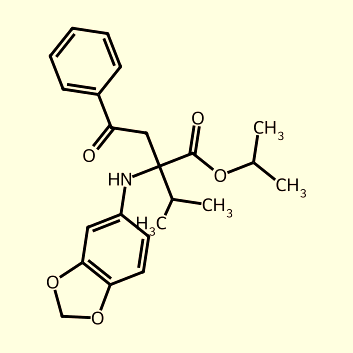 CC(C)OC(=O)C(CC(=O)c1ccccc1)(Nc1ccc2c(c1)OCO2)C(C)C